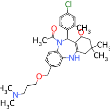 CC(=O)N1c2ccc(COCCCN(C)C)cc2NC2=C(C(=O)CC(C)(C)C2)C1c1ccc(Cl)cc1C